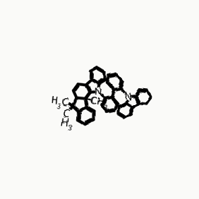 CC1(C)c2ccccc2[C@@]2(C)c3c(c4ccccc4n3-c3ccccc3-c3ccccc3-n3c4c(c5ccccc53)CCC=C4)C=CC12